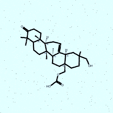 CC1(CO)CC[C@]2(COC(=O)O)CC[C@]3(C)C(=CC[C@@H]4[C@@]5(C)CCC(=O)C(C)(C)C5CC[C@]43C)[C@H]2C1